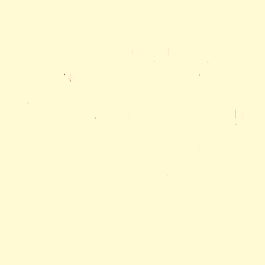 CCOC(=O)C(C#N)C1(c2cccc(F)c2)CCOC(C)(C)C1